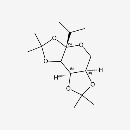 CC(C)[C@@]12OC[C@H]3OC(C)(C)O[C@H]3C1OC(C)(C)O2